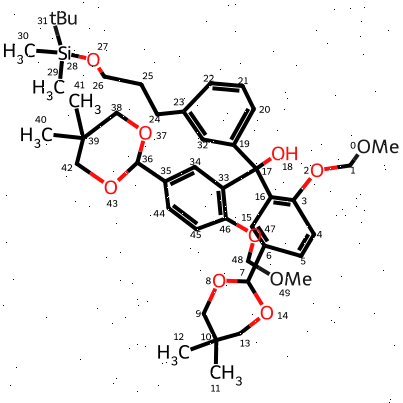 COCOc1ccc(C2OCC(C)(C)CO2)cc1C(O)(c1cccc(CCCO[Si](C)(C)C(C)(C)C)c1)c1cc(C2OCC(C)(C)CO2)ccc1OCOC